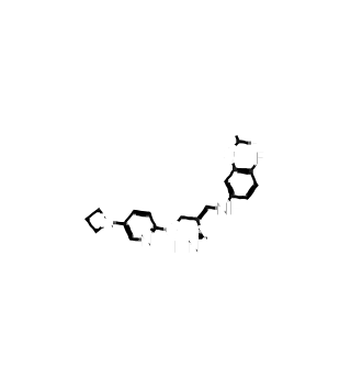 N=N/C(=C\Nc1ccc(F)c(OC(F)F)c1)COc1ccc(N2CCC2)cn1